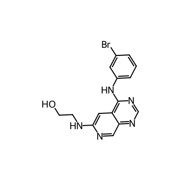 OCCNc1cc2c(Nc3cccc(Br)c3)ncnc2cn1